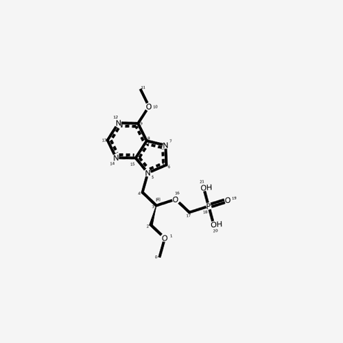 COC[C@@H](Cn1cnc2c(OC)ncnc21)OCP(=O)(O)O